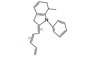 C=C/C=C\C=C1/CC2=C(C(C)CC=C2)N1c1ccccc1